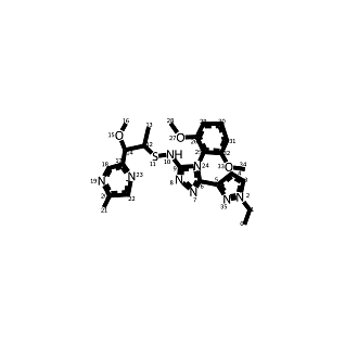 CCn1ccc(-c2nnc(NSC(C)C(OC)c3cnc(C)cn3)n2-c2c(OC)cccc2OC)n1